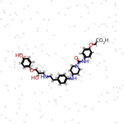 O=C(O)COc1ccc(NC(=O)N2CCC(Nc3ccc(CCNC[C@H](O)COc4ccc(O)cc4)cc3)CC2)cc1